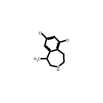 CC1CNCCc2c(Cl)cc(Cl)cc21